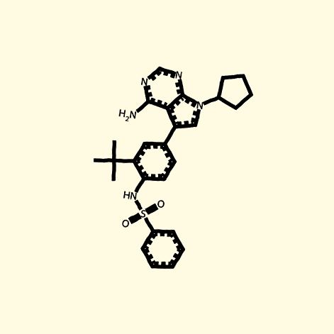 CC(C)(C)c1cc(-c2cn(C3CCCC3)c3ncnc(N)c23)ccc1NS(=O)(=O)c1ccccc1